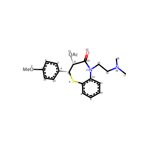 COc1ccc([C@H]2Sc3ccccc3N(CCN(C)C)C(=O)[C@H]2OC(C)=O)cc1